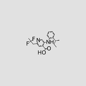 CC[C@H](C)c1ccccc1Nc1cnc(CC(C)(F)F)cc1C(=O)O